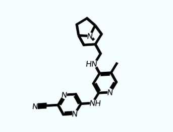 Cc1cnc(Nc2cnc(C#N)cn2)cc1NCC1CC2CCC(C1)N2C